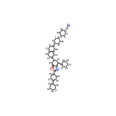 N#Cc1ccc(-c2ccc(-c3ccc4ccc(-c5cc(-c6ccccc6)c6nc(-c7ccc(-c8ccccc8)cc7)oc6c5)cc4c3)cc2)cc1